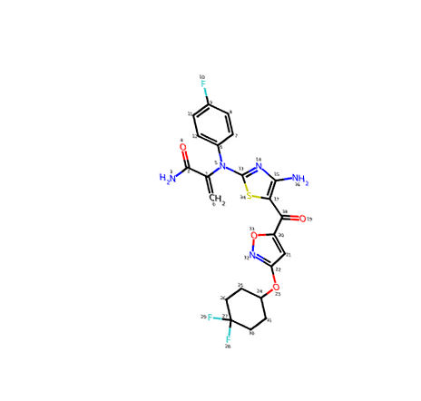 C=C(C(N)=O)N(c1ccc(F)cc1)c1nc(N)c(C(=O)c2cc(OC3CCC(F)(F)CC3)no2)s1